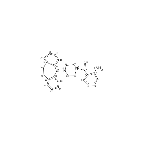 Nc1ccccc1C(=O)N1CCN(C2c3ccccc3CCc3ccccc32)CC1